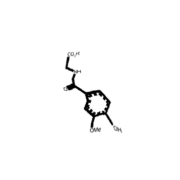 COc1cc(C(=O)NCC(=O)O)ccc1O